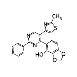 Cc1nc(-c2cnc(-c3ccccc3)nc2-c2ccc3c(c2O)OCO3)cs1